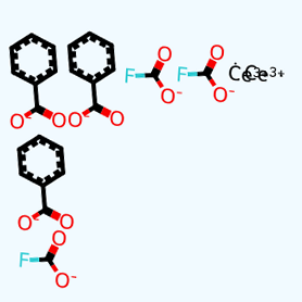 O=C([O-])F.O=C([O-])F.O=C([O-])F.O=C([O-])c1ccccc1.O=C([O-])c1ccccc1.O=C([O-])c1ccccc1.[Ce+3].[Ce+3]